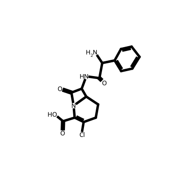 NC(C(=O)NC1C(=O)N2C(C(=O)O)=C(Cl)CCC12)c1ccccc1